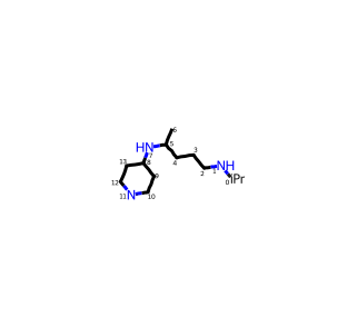 CC(C)NCCCC(C)NC1CC[N]CC1